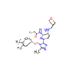 Cc1nnc(-c2ccc(NCC3COC3)c(NC(=O)CCl)n2)n1COCC[Si](C)(C)C